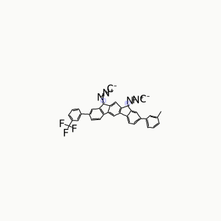 [C-]#[N+]/N=c1/c2cc(-c3cccc(C(F)(F)F)c3)ccc2c2cc3c(cc12)/c(=N/[N+]#[C-])c1cc(-c2cccc(C)c2)ccc13